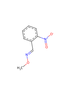 CO/N=C/c1ccccc1[N+](=O)[O-]